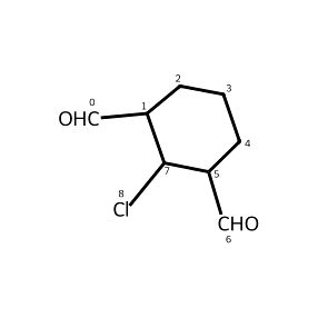 O=CC1CCCC(C=O)C1Cl